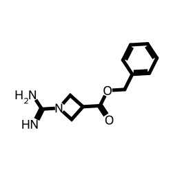 N=C(N)N1CC(C(=O)OCc2ccccc2)C1